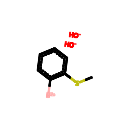 [B+2]c1ccccc1SC.[OH-].[OH-]